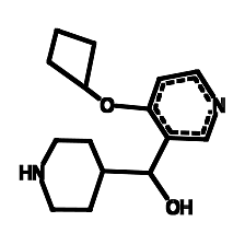 OC(c1cnccc1OC1CCC1)C1CCNCC1